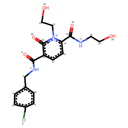 O=C(NCc1ccc(Cl)cc1)c1ccc(C(=O)NCCO)n(CCO)c1=O